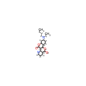 CCCCN(CC)c1ccc2c(c1)oc(=O)c1c3ncccc3c(=O)oc21